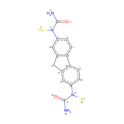 NC(=O)N(S)c1ccc2c(c1)Cc1cc(N(S)C(N)=O)ccc1-2